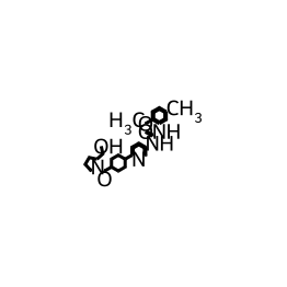 COc1ccc(C)cc1NC(=O)Nc1ccc(C2CCC(C(=O)N3CCCC3CO)CC2)nc1